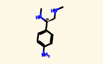 CNC[C@@H](NC)c1ccc(N)cc1